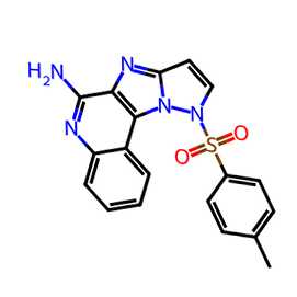 Cc1ccc(S(=O)(=O)n2ccc3nc4c(N)nc5ccccc5c4n32)cc1